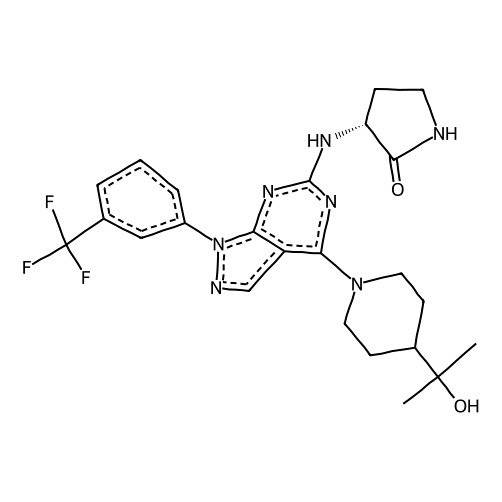 CC(C)(O)C1CCN(c2nc(N[C@@H]3CCNC3=O)nc3c2cnn3-c2cccc(C(F)(F)F)c2)CC1